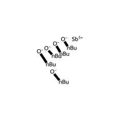 CCCC[O-].CCCC[O-].CCCC[O-].CCCC[O-].CCCC[O-].[Sb+5]